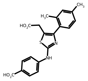 Cc1ccc(-c2nc(Nc3ccc(C(=O)O)cc3)sc2CC(=O)O)c(C)c1